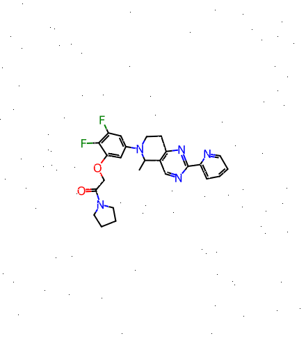 CC1c2cnc(-c3ccccn3)nc2CCN1c1cc(F)c(F)c(OCC(=O)N2CCCC2)c1